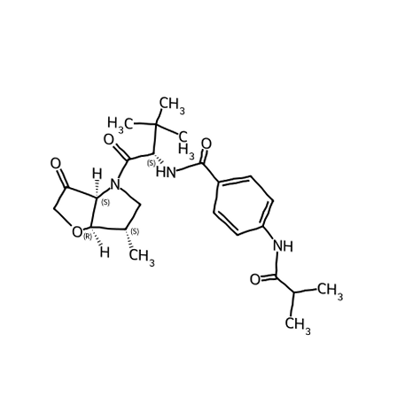 CC(C)C(=O)Nc1ccc(C(=O)N[C@H](C(=O)N2C[C@H](C)[C@H]3OCC(=O)[C@H]32)C(C)(C)C)cc1